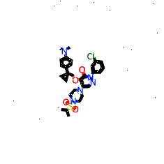 CC(C)S(=O)(=O)N1CCN(c2cnn(-c3cccc(Cl)c3)c(=O)c2OCC2(c3ccc(N(C)C)cc3)CC2)CC1